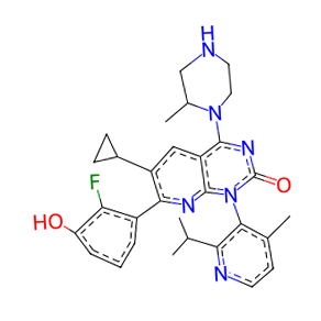 Cc1ccnc(C(C)C)c1-n1c(=O)nc(N2CCNCC2C)c2cc(C3CC3)c(-c3cccc(O)c3F)nc21